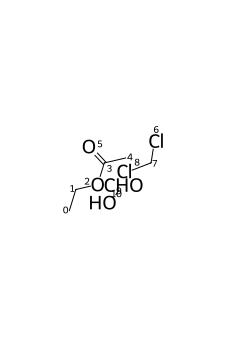 CCOC(C)=O.ClCCl.O=CO